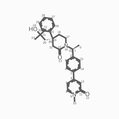 C[C@@H](c1ccc(-c2ccn(C)c(=O)c2)cc1)N1CC[C@](CC(C)(C)O)(c2ccccc2)CC1=O